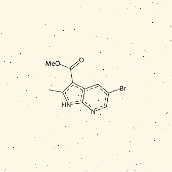 COC(=O)c1c(C)[nH]c2ncc(Br)cc12